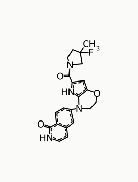 CC1(F)CCN(C(=O)c2cc3c([nH]2)N(c2ccc4c(=O)[nH]ccc4c2)CCO3)C1